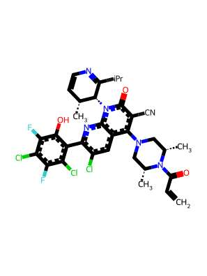 C=CC(=O)N1[C@H](C)CN(c2c(C#N)c(=O)n([C@H]3C(C(C)C)=NC=C[C@H]3C)c3nc(-c4c(O)c(F)c(Cl)c(F)c4Cl)c(Cl)cc23)C[C@@H]1C